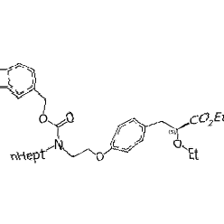 CCCCCCCN(CCOc1ccc(C[C@H](OCC)C(=O)OCC)cc1)C(=O)OCc1ccccc1